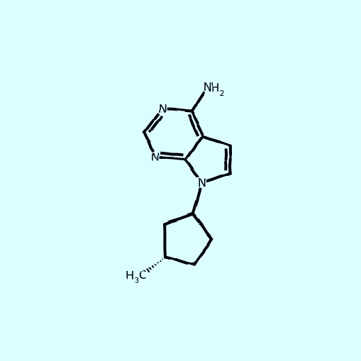 C[C@H]1CCC(n2ccc3c(N)ncnc32)C1